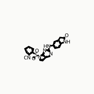 N#Cc1ccccc1S(=O)(=O)n1ccc2cnc(Nc3ccc4c(c3)CC(=O)N4)nc21